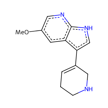 COc1cnc2[nH]cc(C3=CCCNC3)c2c1